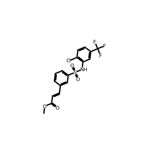 COC(=O)/C=C/c1cccc(S(=O)(=O)Nc2cc(C(F)(F)F)ccc2Cl)c1